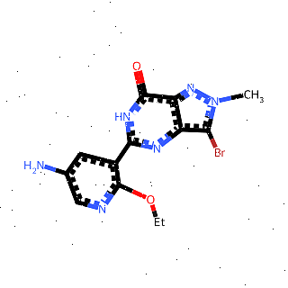 CCOc1ncc(N)cc1-c1nc2c(Br)n(C)nc2c(=O)[nH]1